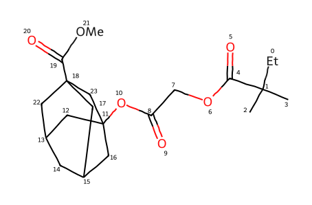 CCC(C)(C)C(=O)OCC(=O)OC12CC3CC(C1)CC(C(=O)OC)(C3)C2